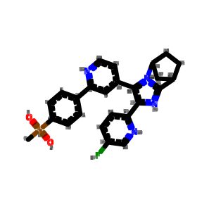 CS(=O)(=O)c1ccc(-c2cc(-c3c(-c4ccc(F)cn4)nc4n3C3CCC4C3)ccn2)cc1